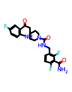 NC(=O)c1c(F)ccc(CNC(=O)N2CCC3(CC2)CC(=O)c2cc(F)ccc2N3)c1F